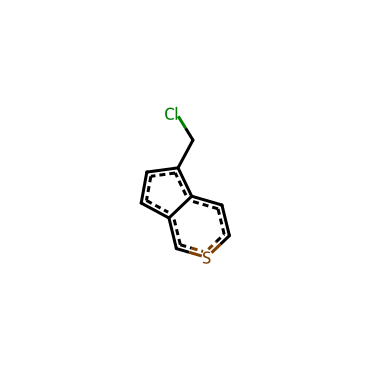 ClCc1ccc2csccc1-2